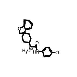 C[C@H](C(=O)Nc1ccc(Cl)cc1)C1CCC2(CC1)COc1ccccc12